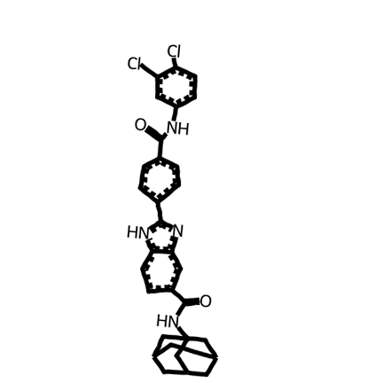 O=C(Nc1ccc(Cl)c(Cl)c1)c1ccc(-c2nc3cc(C(=O)NC45CC6CC(CC(C6)C4)C5)ccc3[nH]2)cc1